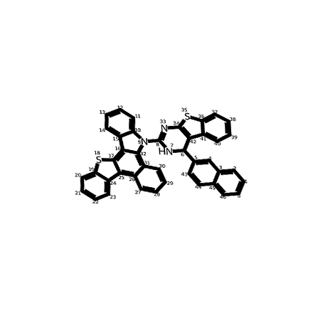 c1ccc2cc(C3NC(n4c5ccccc5c5c6sc7ccccc7c6c6ccccc6c54)=Nc4sc5ccccc5c43)ccc2c1